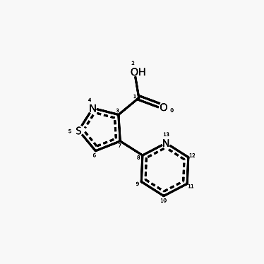 O=C(O)c1nscc1-c1ccccn1